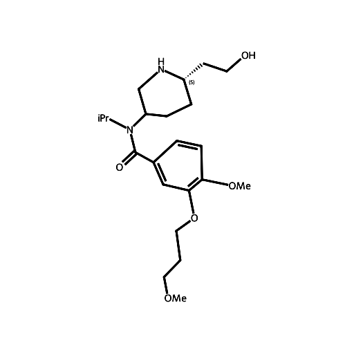 COCCCOc1cc(C(=O)N(C(C)C)C2CC[C@@H](CCO)NC2)ccc1OC